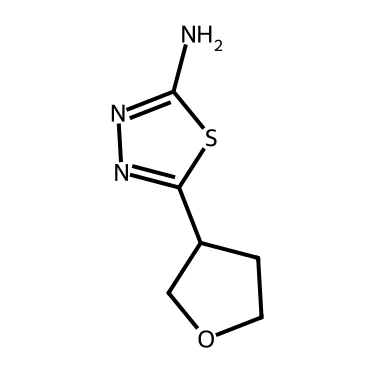 Nc1nnc(C2CCOC2)s1